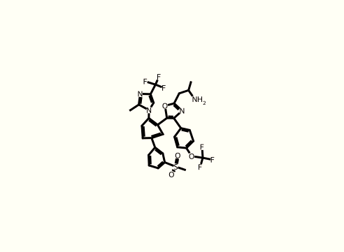 Cc1nc(C(F)(F)F)cn1-c1ccc(-c2cccc(S(C)(=O)=O)c2)cc1-c1oc(CC(C)N)nc1-c1ccc(OC(F)(F)F)cc1